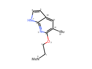 CNCCOc1nc2[nH]ccc2cc1C(C)(C)C